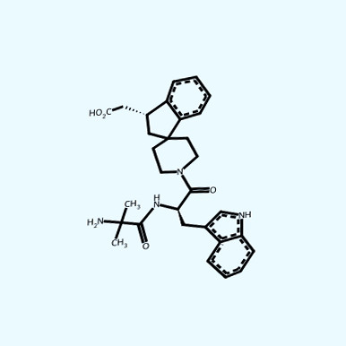 CC(C)(N)C(=O)N[C@H](Cc1c[nH]c2ccccc12)C(=O)N1CCC2(CC1)C[C@H](CC(=O)O)c1ccccc12